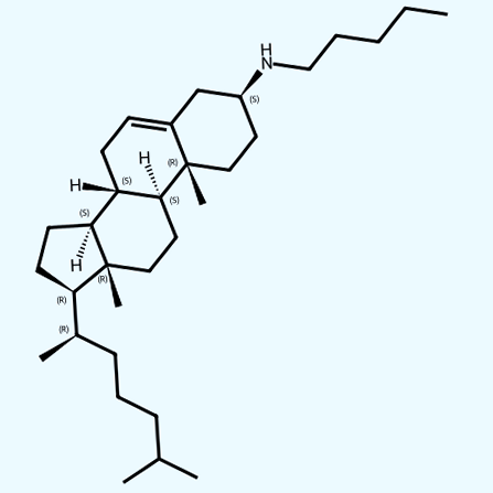 CCCCCN[C@H]1CC[C@@]2(C)C(=CC[C@H]3[C@@H]4CC[C@H]([C@H](C)CCCC(C)C)[C@@]4(C)CC[C@@H]32)C1